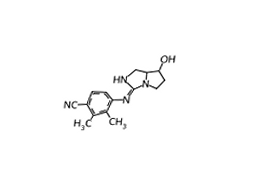 Cc1c(C#N)ccc(/N=C2\NCC3C(O)CCN23)c1C